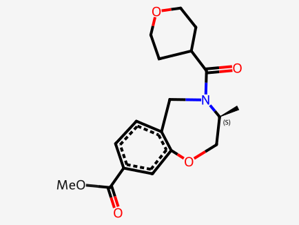 COC(=O)c1ccc2c(c1)OC[C@H](C)N(C(=O)C1CCOCC1)C2